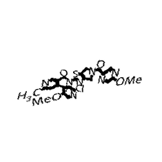 COc1cnc(C(=O)N2Cc3nc(NC(=O)c4cnc(C)cc4-c4cc(Cl)ncc4OC)sc3C2)cn1